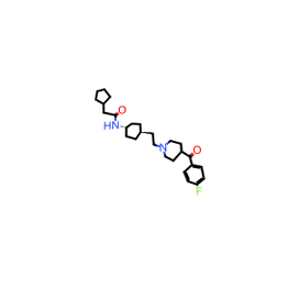 O=C(CC1CCCC1)N[C@H]1CC[C@H](CCN2CCC(C(=O)c3ccc(F)cc3)CC2)CC1